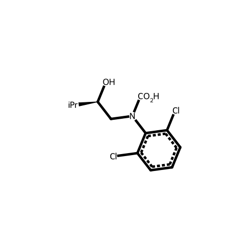 CC(C)[C@@H](O)CN(C(=O)O)c1c(Cl)cccc1Cl